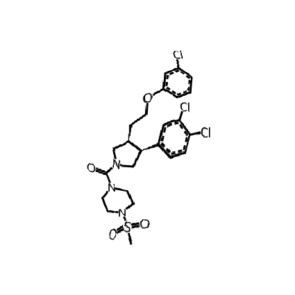 CS(=O)(=O)N1CCN(C(=O)N2C[C@@H](CCOc3cccc(Cl)c3)[C@@H](c3ccc(Cl)c(Cl)c3)C2)CC1